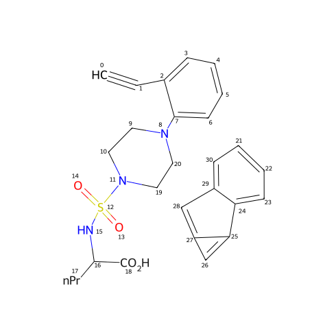 C#Cc1ccccc1N1CCN(S(=O)(=O)NC(CCC)C(=O)O)CC1.c1ccc2c3cc-3cc2c1